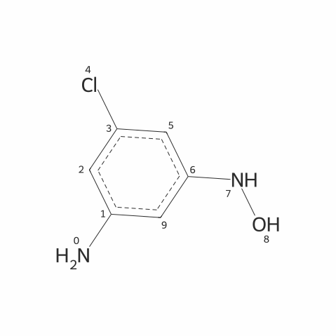 Nc1cc(Cl)cc(NO)c1